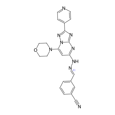 N#Cc1cccc(/C=N/Nc2cc(N3CCOCC3)n3nc(-c4ccncc4)nc3n2)c1